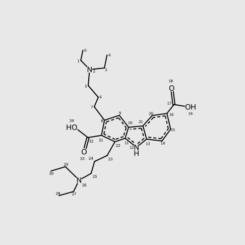 CCN(CC)CCCc1cc2c([nH]c3ccc(C(=O)O)cc32)c(CCCN(CC)CC)c1C(=O)O